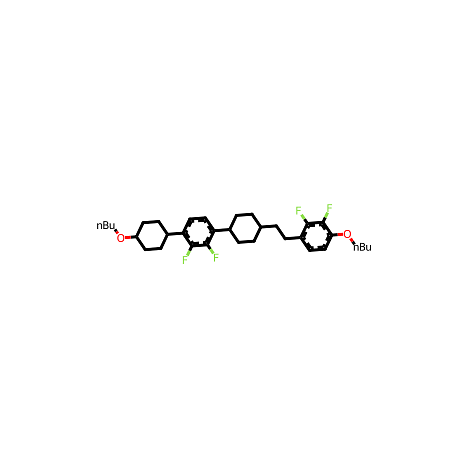 CCCCOc1ccc(CCC2CCC(c3ccc(C4CCC(OCCCC)CC4)c(F)c3F)CC2)c(F)c1F